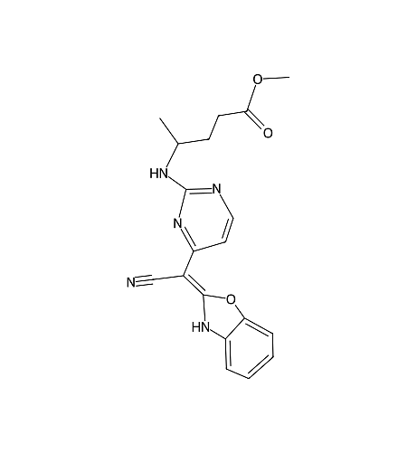 COC(=O)CCC(C)Nc1nccc(C(C#N)=C2Nc3ccccc3O2)n1